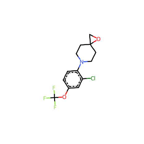 FC(F)(F)Oc1ccc(N2CCC3(CC2)CO3)c(Cl)c1